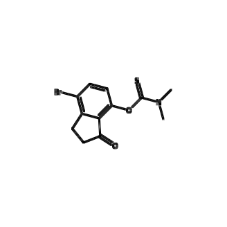 CN(C)C(=S)Oc1ccc(Br)c2c1C(=O)CC2